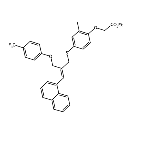 CCOC(=O)COc1ccc(SCC(=Cc2cccc3ccccc23)COc2ccc(C(F)(F)F)cc2)cc1C